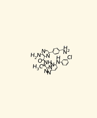 C[C@@H](NC(=O)c1nc(-c2ccc(CN)cc2)cnc1N)c1nnc2ccc(Nc3cccc(Cl)c3)nn12